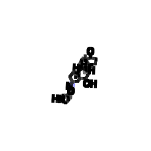 C[C@]12CC/C(=N/O[C@@H]3CCNC3)CC1C(O)C[C@@H]1[C@H]2CC[C@]2(C)C(=O)CC[C@@H]12